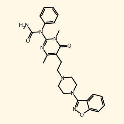 Cc1nc(N(C(N)=O)c2ccccc2)n(C)c(=O)c1CCN1CCN(c2noc3ccccc23)CC1